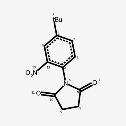 CC(C)(C)c1ccc(N2C(=O)CCC2=O)c([N+](=O)[O-])c1